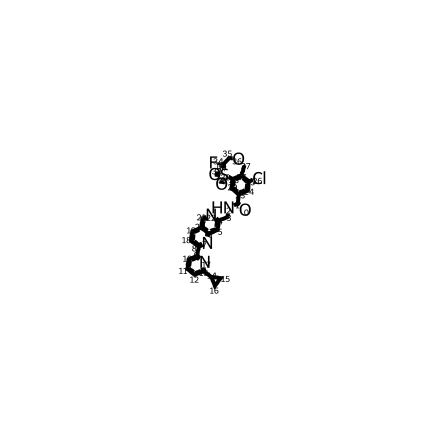 O=C(NCc1cc2nc(-c3cccc(C4CC4)n3)ccc2cn1)c1cc(Cl)c2c(c1)S(=O)(=O)[C@@H](F)COC2